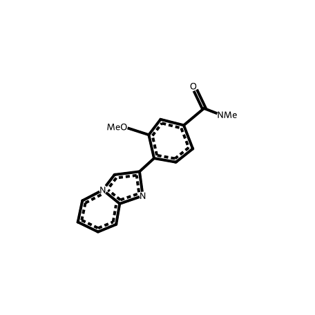 CNC(=O)c1ccc(-c2cn3ccccc3n2)c(OC)c1